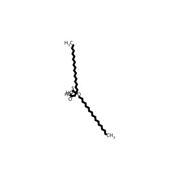 CCCCCCCCCCCCCCCCCCOC(CCCCCCCCCCCCCCCCCC)(CC(=O)O)C(O)=S